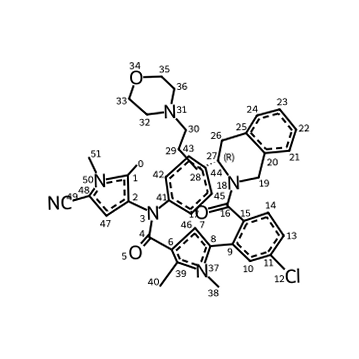 Cc1c(N(C(=O)c2cc(-c3cc(Cl)ccc3C(=O)N3Cc4ccccc4C[C@H]3CCCN3CCOCC3)n(C)c2C)c2ccccc2)cc(C#N)n1C